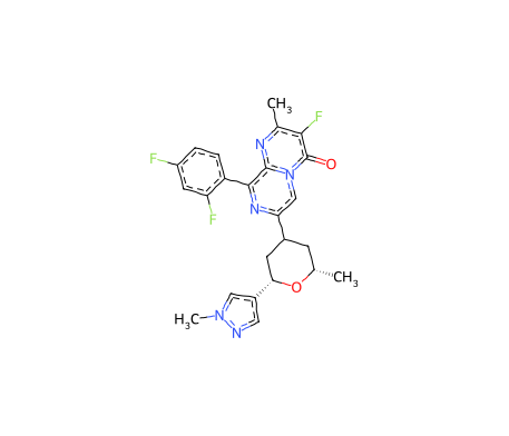 Cc1nc2c(-c3ccc(F)cc3F)nc(C3C[C@@H](c4cnn(C)c4)O[C@@H](C)C3)cn2c(=O)c1F